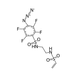 C=CS(=O)(=O)NCCNS(=O)(=O)c1c(F)c(F)c(N=[N+]=[N-])c(F)c1F